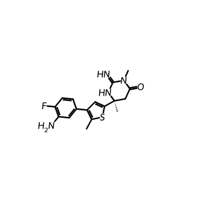 Cc1sc([C@]2(C)CC(=O)N(C)C(=N)N2)cc1-c1ccc(F)c(N)c1